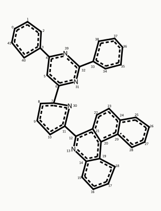 c1ccc(-c2cc(-c3cccc(-c4nc5ccccc5c5c4ccc4ccccc45)n3)nc(-c3ccccc3)n2)cc1